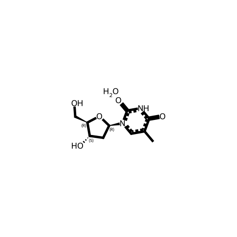 Cc1cn([C@H]2C[C@H](O)[C@@H](CO)O2)c(=O)[nH]c1=O.O